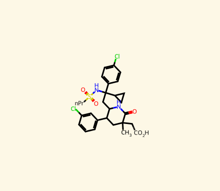 CCCS(=O)(=O)NC(CC1NC(=O)C(C)(CC(=O)O)CC1c1cccc(Cl)c1)(c1ccc(Cl)cc1)C1CC1